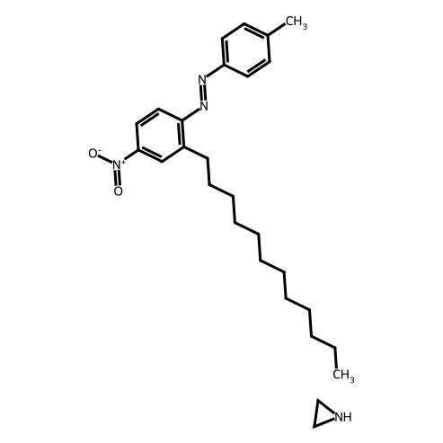 C1CN1.CCCCCCCCCCCCc1cc([N+](=O)[O-])ccc1N=Nc1ccc(C)cc1